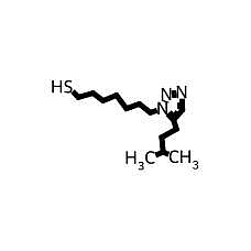 CC(C)CCc1cnnn1CCCCCCCS